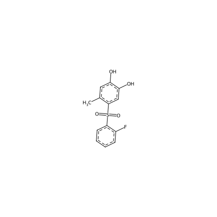 Cc1cc(O)c(O)cc1S(=O)(=O)c1ccccc1F